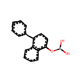 OB(O)Oc1ccc(-c2ccccc2)c2ccccc12